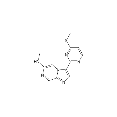 CNc1cn2c(-c3nccc(SC)n3)cnc2cn1